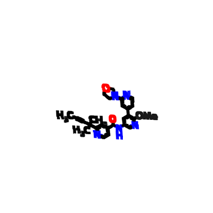 CC#CC(C)(C)c1cc(C(=O)Nc2cnc(OC)c(-c3ccnc(N4CCOC4)c3)c2)ccn1